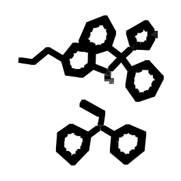 C=CB(c1ccccc1)c1ccccc1.CCCc1ccc([SiH2]C(c2ccccc2)(c2ccccc2)n2ccnc2)cc1